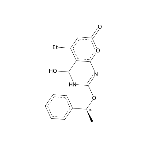 CCc1cc(=O)oc2c1C(O)NC(O[C@@H](C)c1ccccc1)=N2